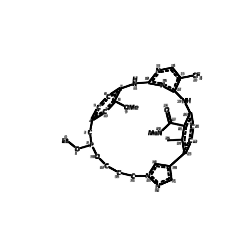 CCOP1Cc2ccc(c(OC)c2)Nc2ncc(C(F)(F)F)c(n2)Nc2ccc(c(C)c2C(=O)NC)-c2cnn(c2)CCCO1